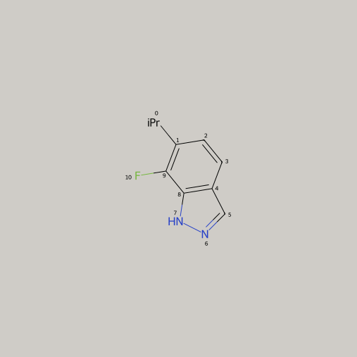 CC(C)c1ccc2cn[nH]c2c1F